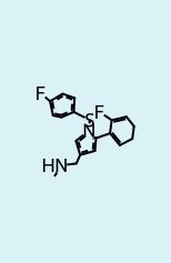 CNCc1cc(C2=CCCC=C2F)n(Sc2ccc(F)cc2)c1